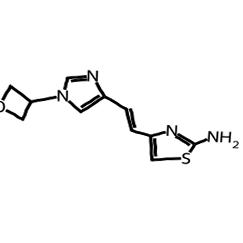 Nc1nc(C=Cc2cn(C3COC3)cn2)cs1